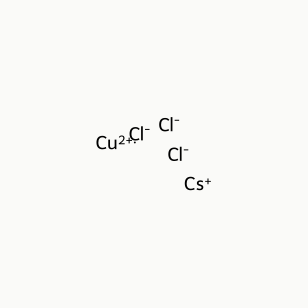 [Cl-].[Cl-].[Cl-].[Cs+].[Cu+2]